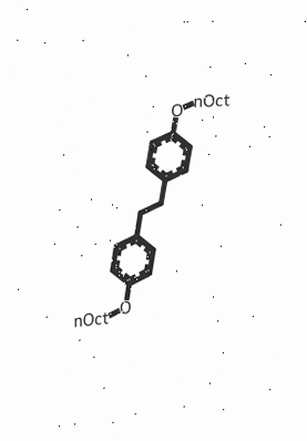 CCCCCCCCOc1ccc(CCc2ccc(OCCCCCCCC)cc2)cc1